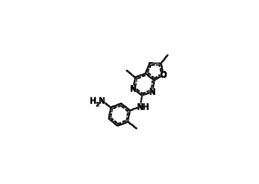 Cc1cc2c(C)nc(Nc3cc(N)ccc3C)nc2o1